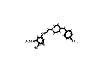 CC(=O)Nc1cc(OCCN2CCC(Cc3ccc(C)cc3)CC2)ccc1O